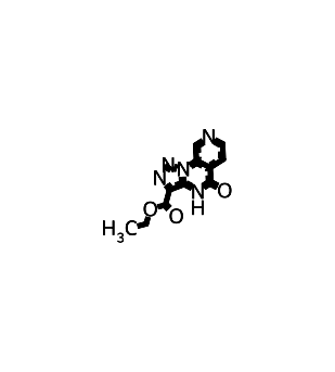 CCOC(=O)c1nnn2c1[nH]c(=O)c1ccncc12